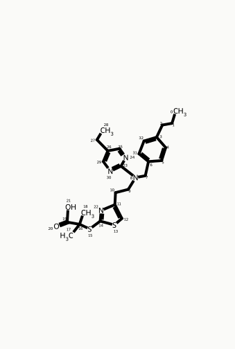 CCCc1ccc(CN(CCc2csc(SC(C)(C)C(=O)O)n2)c2ncc(CC)cn2)cc1